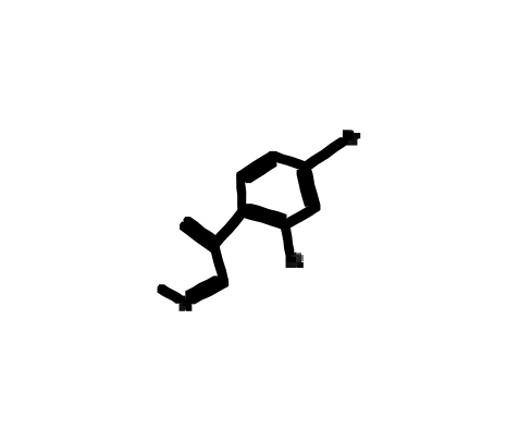 C=C(/C=N\C)c1ccc(Br)cc1CC